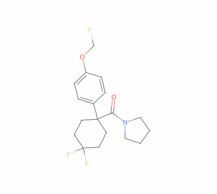 O=C(N1CCCC1)C1(c2ccc(OCF)cc2)CCC(F)(F)CC1